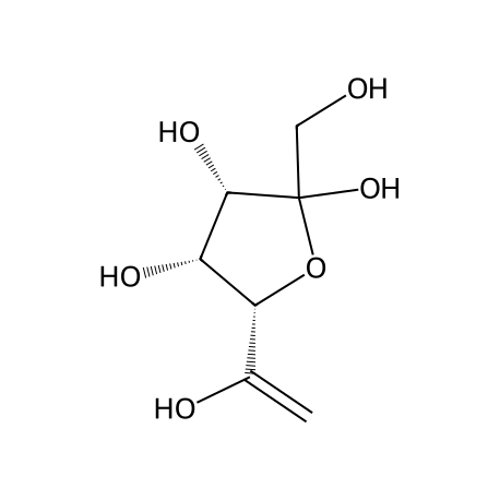 C=C(O)[C@H]1OC(O)(CO)[C@@H](O)[C@H]1O